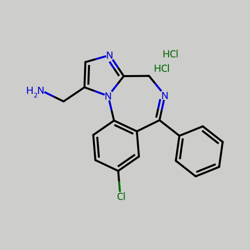 Cl.Cl.NCc1cnc2n1-c1ccc(Cl)cc1C(c1ccccc1)=NC2